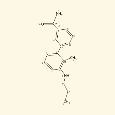 CCCNc1cccc(-c2cccc(C(N)=O)c2)c1C